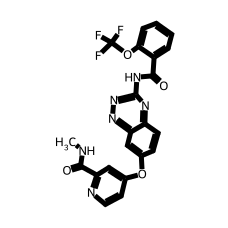 CNC(=O)c1cc(Oc2ccc3nc(NC(=O)c4ccccc4OC(F)(F)F)nnc3c2)ccn1